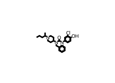 CCCC(C)N1CCC(N(Cc2ccccc2)C(=O)Nc2ccc(O)c(Cl)c2)CC1